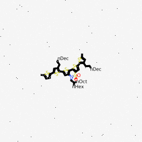 CCCCCCCCCCCCc1cc(C)sc1-c1cc2c(s1)-c1sc(-c3sc(-c4ccc(C)s4)cc3CCCCCCCCCCCC)cc1N(CC(CCCCCC)CCCCCCCC)S2(=O)=O